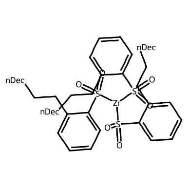 CCCCCCCCCCCCc1ccccc1[S](=O)(=O)[Zr]([S](=O)(=O)c1ccccc1CCCCCCCCCCCC)[S](=O)(=O)c1ccccc1CCCCCCCCCCCC